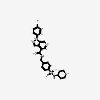 O=C(NCc1ccc(S(=O)(=O)NC2CCOCC2)cc1)c1cncc2c1cnn2-c1ccc(F)cc1